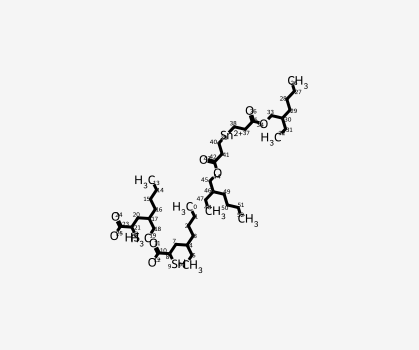 CCCCC(CC)CC(S)C(=O)[O-].CCCCC(CC)CC(S)C(=O)[O-].CCCCC(CC)COC(=O)C[CH2][Sn+2][CH2]CC(=O)OCC(CC)CCCC